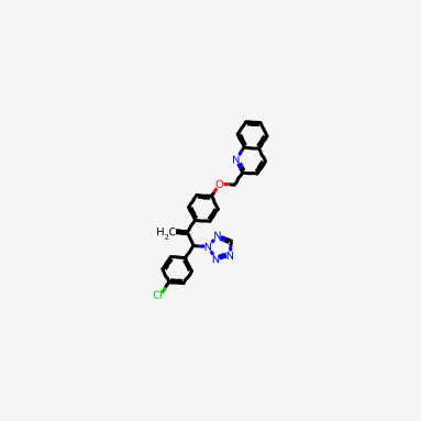 C=C(c1ccc(OCc2ccc3ccccc3n2)cc1)C(c1ccc(Cl)cc1)n1ncnn1